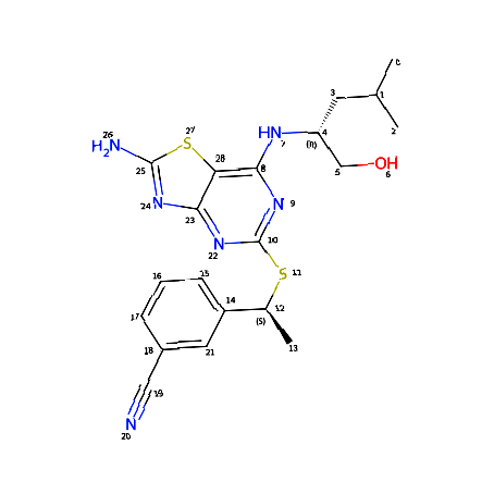 CC(C)C[C@H](CO)Nc1nc(S[C@@H](C)c2cccc(C#N)c2)nc2nc(N)sc12